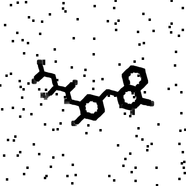 O=C(O)CC(P)C(=O)Nc1cc(Cc2n[nH]c(=O)c3ccccc23)ccc1Cl